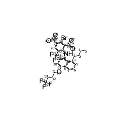 CCCCc1cccc2c(OCCCC(F)(F)F)ccc(Nc3c(C(F)(F)F)cc([N+](=O)[O-])c(Br)c3[N+](=O)[O-])c12